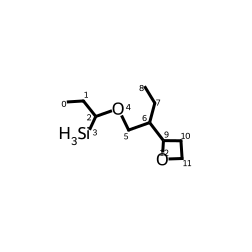 CCC([SiH3])OCC(CC)C1CCO1